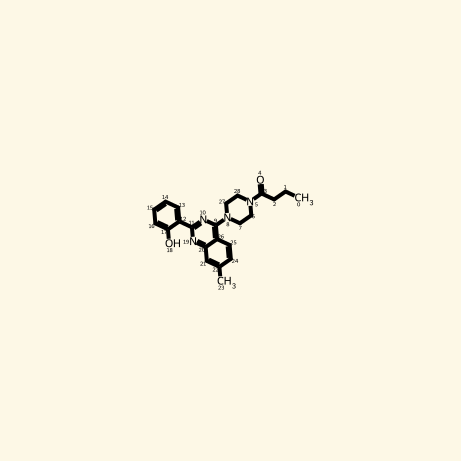 CCCC(=O)N1CCN(c2nc(-c3ccccc3O)nc3cc(C)ccc23)CC1